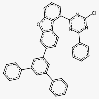 Clc1nc(-c2ccccc2)nc(-c2cccc3oc4cc(-c5cc(-c6ccccc6)cc(-c6ccccc6)c5)ccc4c23)n1